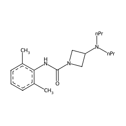 CCCN(CCC)C1CN(C(=O)Nc2c(C)cccc2C)C1